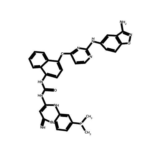 CP(C)c1cccc(N/C(=C\C(=N)C(C)(C)C)NC(=O)Nc2ccc(Oc3ccnc(Nc4ccc5onc(N)c5c4)n3)c3ccccc23)c1